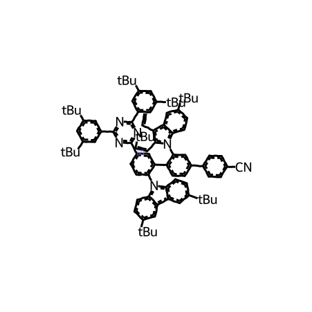 C=Cc1c(/C=C\C(C)(C)C)n(-c2cc(-c3ccc(C#N)cc3)ccc2-c2cc(-c3nc(-c4cc(C(C)(C)C)cc(C(C)(C)C)c4)nc(-c4cc(C(C)(C)C)cc(C(C)(C)C)c4)n3)ccc2-n2c3ccc(C(C)(C)C)cc3c3cc(C(C)(C)C)ccc32)c2ccc(C(C)(C)C)cc12